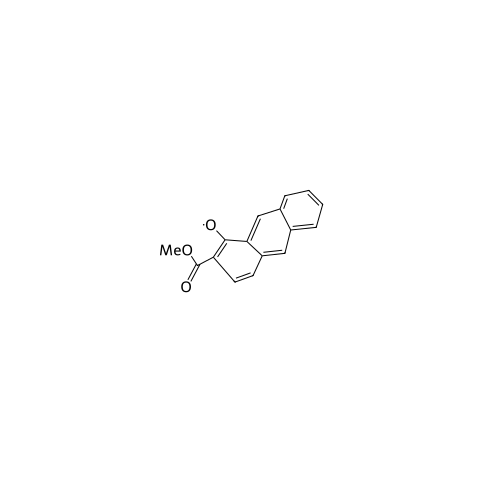 COC(=O)c1ccc2cc3ccccc3cc2c1[O]